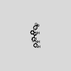 O=S1(=O)CCN(c2cccc3c(-c4ccnc(N[C@H]5CCCNC5)n4)c[nH]c23)CC1